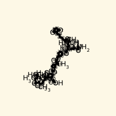 CO[C@H]([C@@H](C)[C@H]1O[C@]1(C)C[C@H](C)/C=C/C=C(\C)[C@H]1O[C@@H](CC(=O)O)C[C@@H](OC(=O)N2CCC(N(C)C(=O)OCc3ccc(NC(=O)[C@@H](CCCNC(N)=O)NC(=O)[C@H](NC(=O)CCCCCN4C(=O)C=CC4=O)C(C)C)cc3)C2)[C@@H]1C)[C@@H](C)O